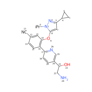 CC(C)n1nc(C2CC2)cc1Oc1cc(C#N)ccc1-c1ccc(C(O)CN)cn1